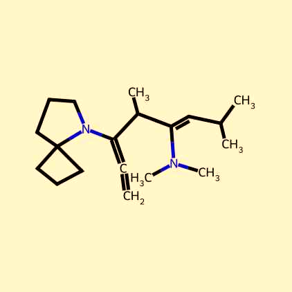 C=C=C(C(C)C(=CC(C)C)N(C)C)N1CCCC12CCC2